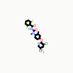 Cc1cc(Oc2ncc(C(F)(F)F)cc2Cl)ccc1N(C)C(=O)NC(=O)c1c(F)cccc1F